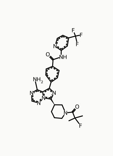 CC(C)(F)C(=O)N1CCC[C@@H](c2nc(-c3ccc(C(=O)Nc4cc(C(F)(F)F)ccn4)cc3)c3c(N)ncnn23)C1